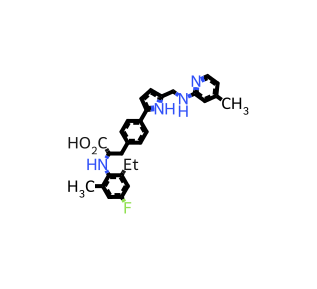 CCc1cc(F)cc(C)c1NC(Cc1ccc(-c2ccc(CNc3cc(C)ccn3)[nH]2)cc1)C(=O)O